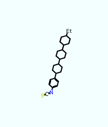 CCC1CCC(C2CCC(C3CCC(c4ccc(N=C=S)cc4)CC3)CC2)CC1